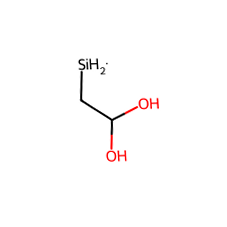 OC(O)C[SiH2]